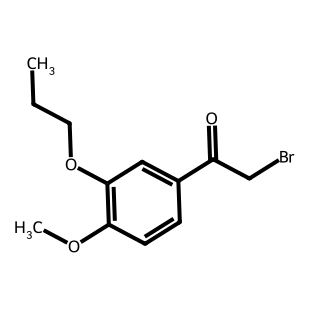 CCCOc1cc(C(=O)CBr)ccc1OC